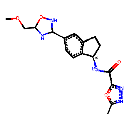 COCC1NC(c2ccc3c(c2)CC[C@H]3NC(=O)c2nnc(C)o2)NO1